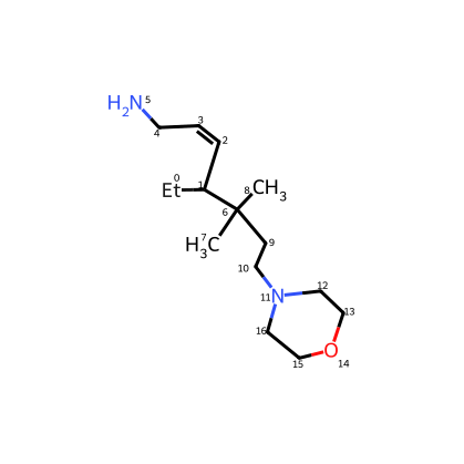 CCC(/C=C\CN)C(C)(C)CCN1CCOCC1